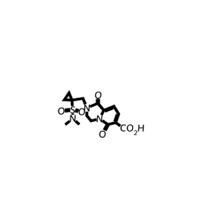 CN(C)S(=O)(=O)C1(CN2CCn3c(ccc(C(=O)O)c3=O)C2=O)CC1